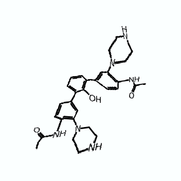 CC(=O)Nc1ccc(-c2cccc(-c3ccc(NC(C)=O)c(N4CCNCC4)c3)c2O)cc1N1CCNCC1